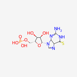 NC1=NC2C(N=CN2[C@@H]2O[C@H](COP(=O)(O)O)[C@@H](O)[C@H]2O)C(=S)N1